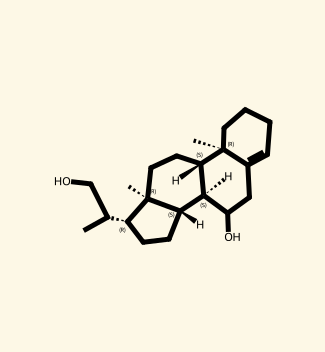 CC(CO)[C@H]1CC[C@H]2[C@@H]3C(O)CC4=CCCC[C@]4(C)[C@H]3CC[C@]12C